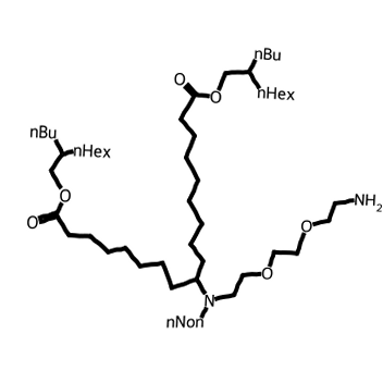 CCCCCCCCCN(CCOCCOCCN)C(CCCCCCCCC(=O)OCC(CCCC)CCCCCC)CCCCCCCC(=O)OCC(CCCC)CCCCCC